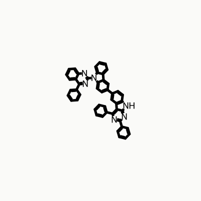 c1ccc(-c2nc(-c3ccccc3)c3c(n2)[nH]c2ccc(-c4ccc5c(c4)c4ccccc4n5-c4nc(-c5ccccc5)c5ccccc5n4)cc23)cc1